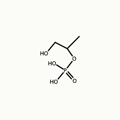 CC(CO)OP(=O)(O)O